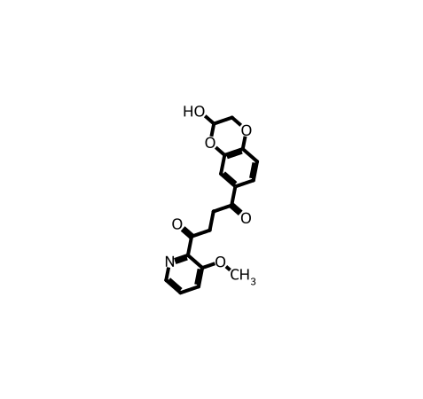 COc1cccnc1C(=O)CCC(=O)c1ccc2c(c1)OC(O)CO2